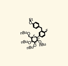 CCCCOC[C@H]1S[C@@H](c2ccc(F)c(Cc3ccc(OCC)cc3)c2)[C@H](OCCCC)[C@@H](OCCCC)[C@@H]1OCCCC